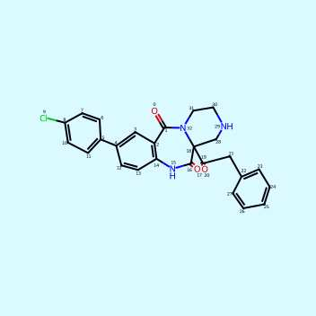 O=C1c2cc(-c3ccc(Cl)cc3)ccc2NC(=O)C2(C(=O)Cc3ccccc3)CNCCN12